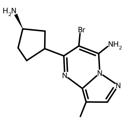 Cc1cnn2c(N)c(Br)c(C3CC[C@@H](N)C3)nc12